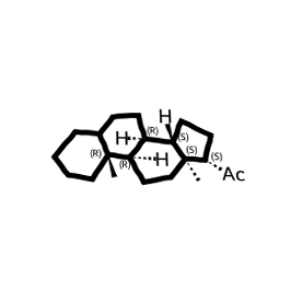 CC(=O)[C@H]1CC[C@H]2[C@@H]3CCC4CCCC[C@@]4(C)[C@@H]3CC[C@]12C